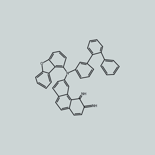 N=C1C=Cc2ccc3ccc(N(c4cccc(-c5ccccc5-c5ccccc5)c4)c4cccc5oc6ccccc6c45)cc3c2C1=N